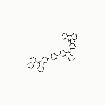 c1ccc2c(-n3c4ccccc4c4cc(-c5ccc(-c6ccc7c(c6)c6ccccc6n7-c6ccc7c8cccc9c%10ccccc%10n(c7c6)c98)cc5)ccc43)cccc2c1